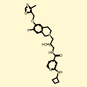 Cc1ncoc1COc1cc2c(cc1F)CN(C[C@H](O)CNC(=O)c1ccnc(NC3CCC3)c1)CC2